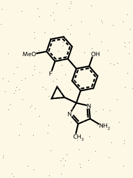 COc1cccc(-c2cc(C3(C4CC4)N=C(C)C(N)=N3)ccc2O)c1F